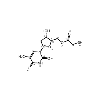 Cc1cn([C@H]2CC(O)[C@@H](COC(=O)CS)O2)c(=O)[nH]c1=O